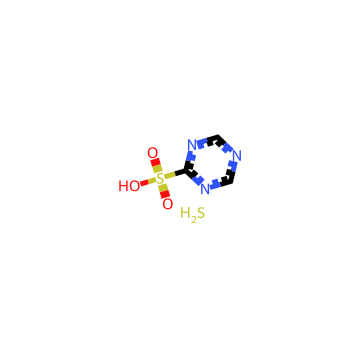 O=S(=O)(O)c1ncncn1.S